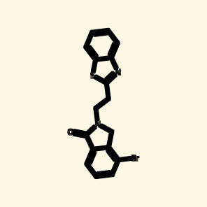 O=C1c2cccc(Br)c2CN1CCc1nc2ccccc2s1